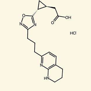 Cl.O=C(O)C[C@@H]1C[C@H]1c1nc(CCCc2ccc3c(n2)NCCC3)no1